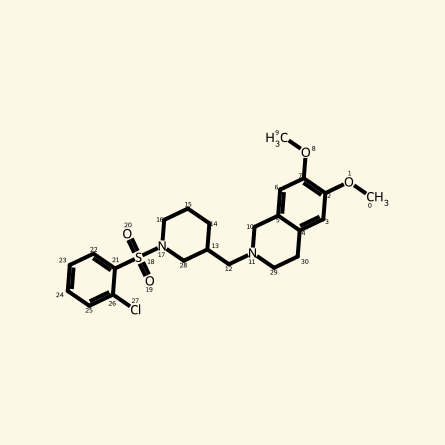 COc1cc2c(cc1OC)CN(CC1CCCN(S(=O)(=O)c3ccccc3Cl)C1)CC2